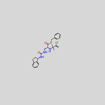 C=C(Cl)C(C)(C)N[C@@H](CNC(=O)N[C@@H]1CCc2ccccc21)C(=O)OCc1ccccc1